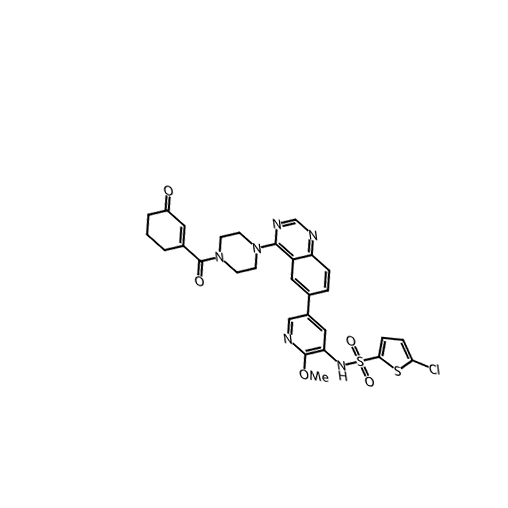 COc1ncc(-c2ccc3ncnc(N4CCN(C(=O)C5=CC(=O)CCC5)CC4)c3c2)cc1NS(=O)(=O)c1ccc(Cl)s1